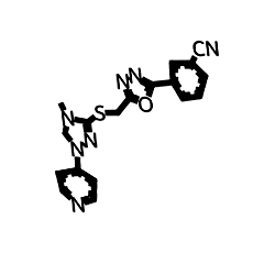 CN1CN(c2ccncc2)N=C1SCc1nnc(-c2cccc(C#N)c2)o1